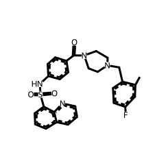 Cc1cc(F)ccc1CN1CCN(C(=O)c2ccc(NS(=O)(=O)c3cccc4cccnc34)cc2)CC1